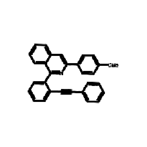 COc1ccc(-c2cc3ccccc3c(-c3ccccc3C#Cc3ccccc3)n2)cc1